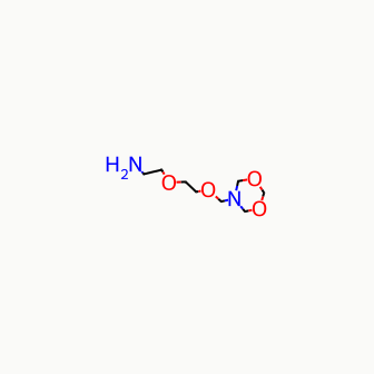 NCCOCCOCN1COCOC1